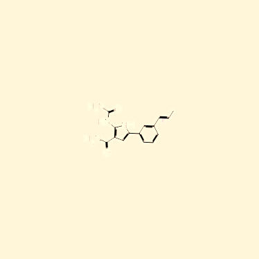 C/C=C/c1cccc(-c2cc(C(N)=O)c(NC(N)=O)[nH]2)c1